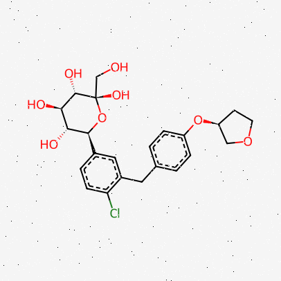 OC[C@]1(O)O[C@@H](c2ccc(Cl)c(Cc3ccc(O[C@H]4CCOC4)cc3)c2)[C@H](O)[C@@H](O)[C@@H]1O